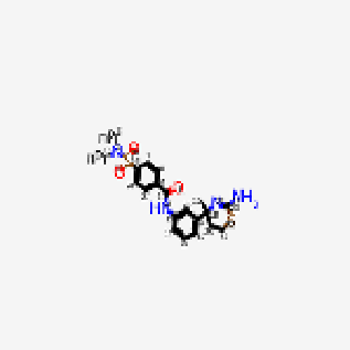 CCCN(CCC)S(=O)(=O)c1ccc(C(=O)Nc2cccc(C3(C)CCSC(N)=N3)c2)cc1